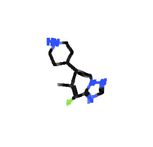 Cc1c(C2CCNCC2)cn2ncnc2c1F